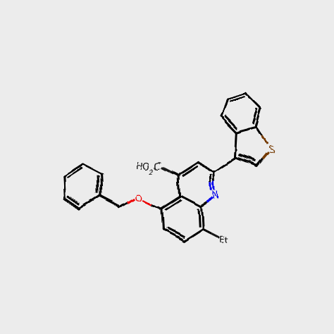 CCc1ccc(OCc2ccccc2)c2c(C(=O)O)cc(-c3csc4ccccc34)nc12